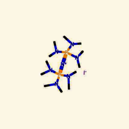 CN(C)P(=[N+]=P(N(C)C)(N(C)C)N(C)C)(N(C)C)N(C)C.[I-]